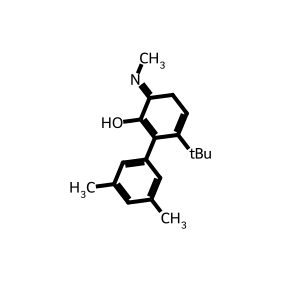 CN=C1CC=C(C(C)(C)C)C(c2cc(C)cc(C)c2)=C1O